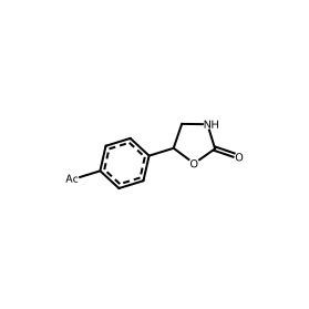 CC(=O)c1ccc(C2CNC(=O)O2)cc1